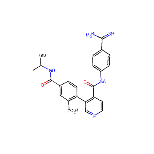 CC(NC(=O)c1ccc(-c2cnccc2C(=O)Nc2ccc(C(=N)N)cc2)c(C(=O)O)c1)C(C)(C)C